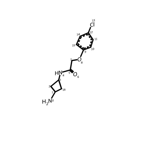 NC1CC(NC(=O)COc2ccc(Cl)cc2)C1